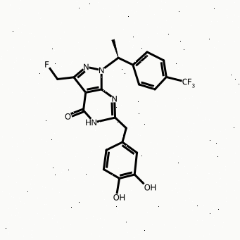 C[C@@H](c1ccc(C(F)(F)F)cc1)n1nc(CF)c2c(=O)[nH]c(Cc3ccc(O)c(O)c3)nc21